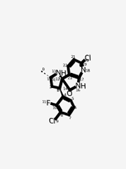 C[C@H]1C[C@H](c2cccc(Cl)c2F)[C@@]2(N1)C(=O)Nc1nc(Cl)ccc12